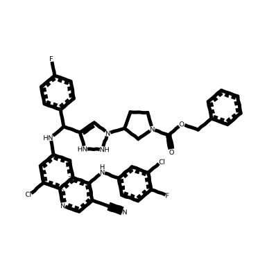 N#Cc1cnc2c(Cl)cc(NC(C3=CN(C4CCN(C(=O)OCc5ccccc5)C4)NN3)c3ccc(F)cc3)cc2c1Nc1ccc(F)c(Cl)c1